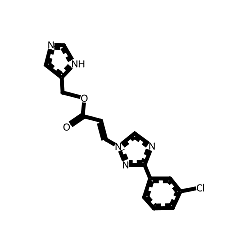 O=C(/C=C/n1cnc(-c2cccc(Cl)c2)n1)OCc1cnc[nH]1